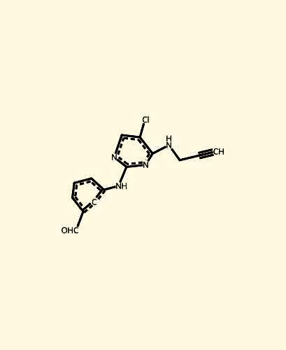 C#CCNc1nc(Nc2cccc(C=O)c2)ncc1Cl